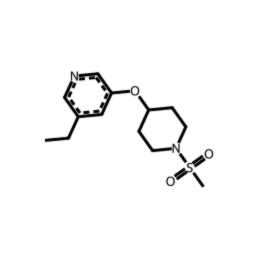 CCc1cncc(OC2CCN(S(C)(=O)=O)CC2)c1